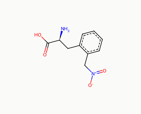 N[C@@H](Cc1ccccc1C[N+](=O)[O-])C(=O)O